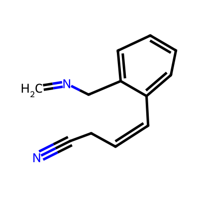 C=NCc1ccccc1/C=C\CC#N